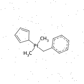 [CH3][Pt]([CH3])([CH2]c1ccccc1)[CH]1C=CC=C1